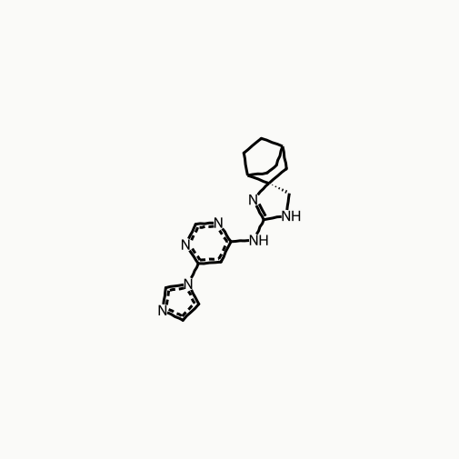 c1cn(-c2cc(NC3=N[C@]4(CN3)CC3CCC4CC3)ncn2)cn1